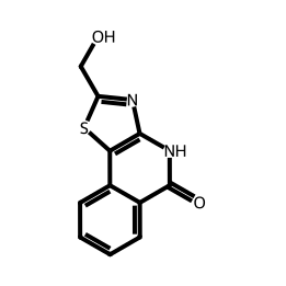 O=c1[nH]c2nc(CO)sc2c2ccccc12